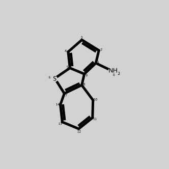 Nc1cccc2sc3c(c12)CC=CC=C3